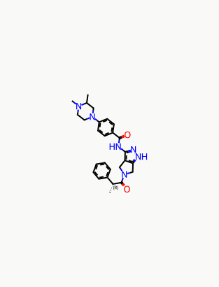 CC1CN(c2ccc(C(=O)Nc3n[nH]c4c3CN(C(=O)[C@H](C)c3ccccc3)C4)cc2)CCN1C